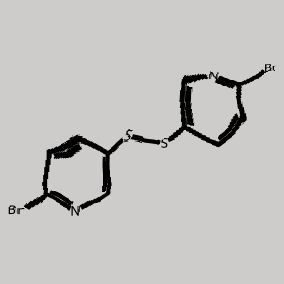 Brc1ccc(SSc2ccc(Br)nc2)cn1